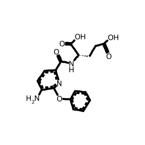 Nc1ccc(C(=O)N[C@@H](CCC(=O)O)C(=O)O)nc1Oc1ccccc1